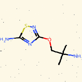 CC(C)(N)COc1nsc(N)n1